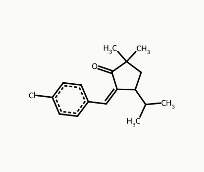 CC(C)C1CC(C)(C)C(=O)C1=Cc1ccc(Cl)cc1